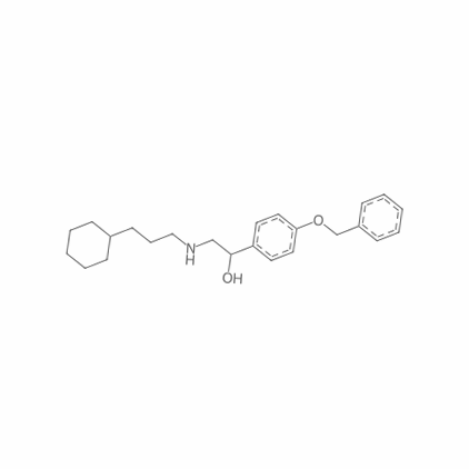 OC(CNCCCC1CCCCC1)c1ccc(OCc2ccccc2)cc1